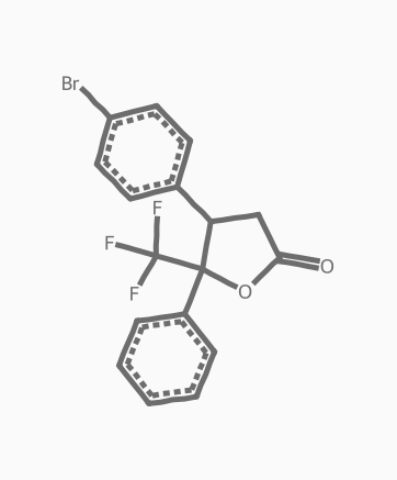 O=C1CC(c2ccc(Br)cc2)C(c2ccccc2)(C(F)(F)F)O1